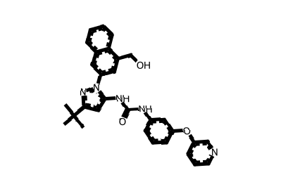 CC(C)(C)c1cc(NC(=O)Nc2cccc(Oc3cccnc3)c2)n(-c2cc(CO)c3ccccc3c2)n1